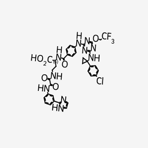 O=C(NCC[C@H](NC(=O)c1ccc(Nc2nc(NC3(c4ccc(Cl)cc4)CC3)nc(OCC(F)(F)F)n2)cc1)C(=O)O)C(=O)Nc1cccc(-c2ncc[nH]2)c1